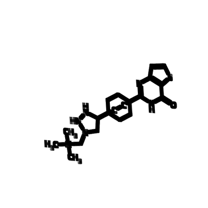 C[Si](C)(C)CN1CC(C23CCC(c4nc5ccsc5c(=O)[nH]4)(CC2)CC3)NN1